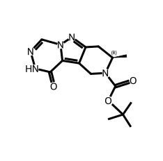 C[C@@H]1Cc2nn3cn[nH]c(=O)c3c2CN1C(=O)OC(C)(C)C